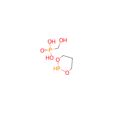 C1COPOC1.O=P(O)(O)CO